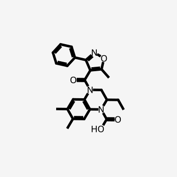 CCC1CN(C(=O)c2c(-c3ccccc3)noc2C)c2cc(C)c(C)cc2N1C(=O)O